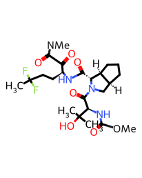 CNC(=O)C(=O)[C@H](CCC(C)(F)F)NC(=O)[C@@H]1[C@H]2CCC[C@H]2CN1C(=O)[C@@H](NC(=O)OC)C(C)(C)O